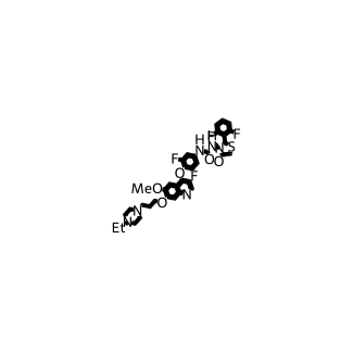 CCN1CCN(CCCOc2cc3nccc(Oc4c(F)cc(NC(=O)NN5C(=O)CSC5c5c(F)cccc5F)cc4F)c3cc2OC)CC1